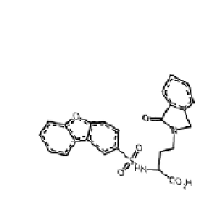 O=C(O)C(CCN1Cc2ccccc2C1=O)NS(=O)(=O)c1ccc2oc3ccccc3c2c1